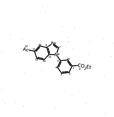 CCOC(=O)c1cccc(-n2cnc3cc(C(C)=O)ccc32)c1